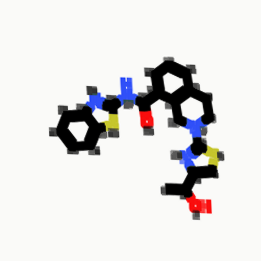 C=C(O)c1csc(N2CCc3cccc(C(=O)Nc4nc5ccccc5s4)c3C2)n1